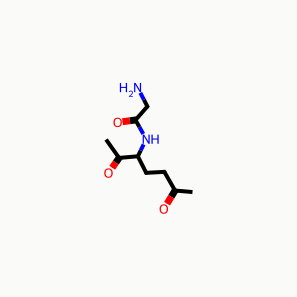 CC(=O)CCC(NC(=O)CN)C(C)=O